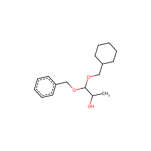 CC(O)C(OCc1ccccc1)OCC1CCCCC1